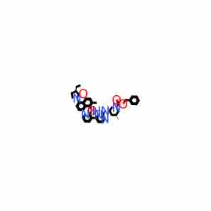 CC[C@@H]1CCN(c2cccc3c(Oc4ncccc4-c4ccnc(N[C@H]5C[C@@H](C)CN(C(=O)OCc6ccccc6)C5)n4)c(C)ccc23)C1=O